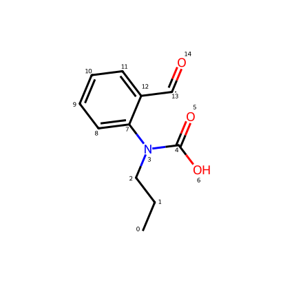 CCCN(C(=O)O)c1ccccc1[C]=O